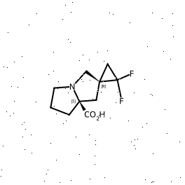 O=C(O)[C@@]12CCCN1C[C@]1(CC1(F)F)C2